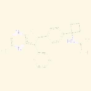 O=C(O)NC1(c2ccc(-c3oc4ncc(Cl)nc4c3-c3ccccc3)cc2)CCC1